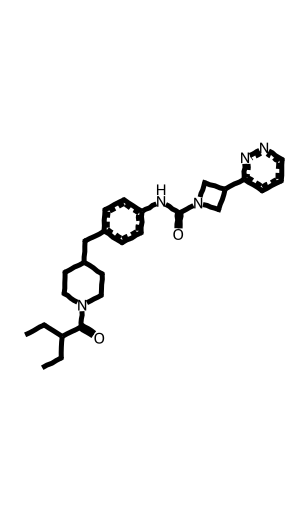 CCC(CC)C(=O)N1CCC(Cc2ccc(NC(=O)N3CC(c4cccnn4)C3)cc2)CC1